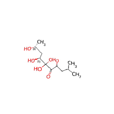 CC(C)CC(=O)C(=O)C(O)(O)[C@@H](O)C[C@@H](C)O